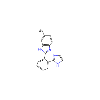 CC(C)(C)c1ccc2nc(-c3ccccc3-c3ncc[nH]3)[nH]c2c1